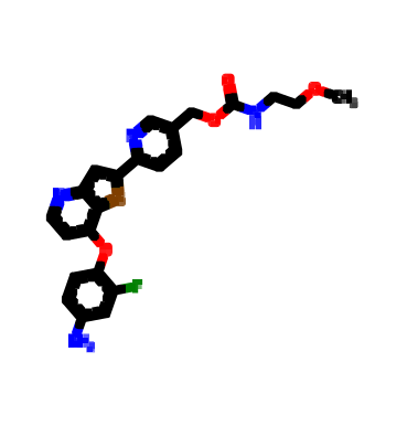 COCCNC(=O)OCc1ccc(-c2cc3nccc(Oc4ccc(N)cc4F)c3s2)nc1